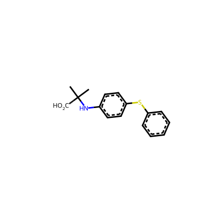 CC(C)(Nc1ccc(Sc2ccccc2)cc1)C(=O)O